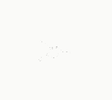 CCn1[c]c(C#N)c(C#N)n1